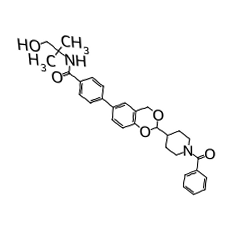 CC(C)(CO)NC(=O)c1ccc(-c2ccc3c(c2)COC(C2CCN(C(=O)c4ccccc4)CC2)O3)cc1